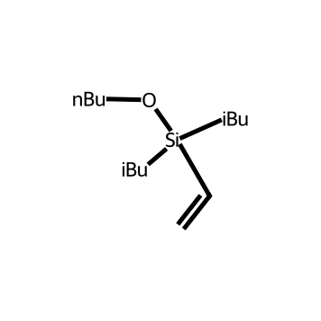 C=C[Si](OCCCC)(C(C)CC)C(C)CC